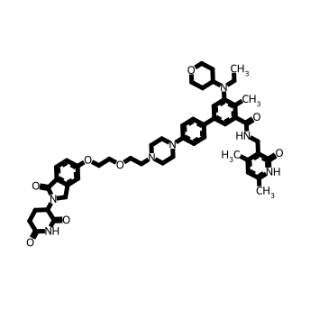 CCN(c1cc(-c2ccc(N3CCN(CCOCCOc4ccc5c(c4)CN(C4CCC(=O)NC4=O)C5=O)CC3)cc2)cc(C(=O)NCc2c(C)cc(C)[nH]c2=O)c1C)C1CCOCC1